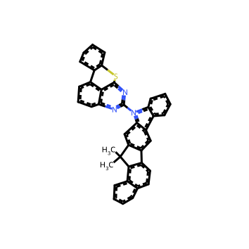 CC1(C)c2cc3c(cc2-c2ccc4ccccc4c21)c1ccccc1n3-c1nc2c3c(cccc3n1)-c1ccccc1S2